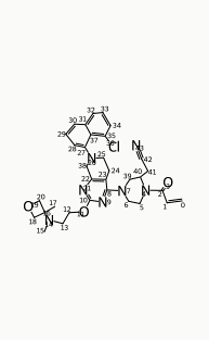 C=CC(=O)N1CCN(c2nc(OCCN(C)C3(C)COC3)nc3c2CCN(c2cccc4cccc(Cl)c24)C3)CC1CC#N